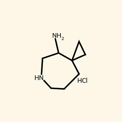 Cl.NC1CNCCCC12CC2